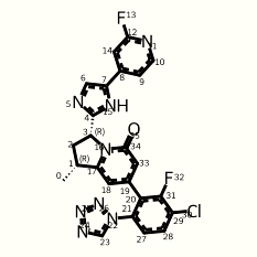 C[C@@H]1C[C@H](c2ncc(-c3ccnc(F)c3)[nH]2)n2c1cc(-c1c(-n3cnnn3)ccc(Cl)c1F)cc2=O